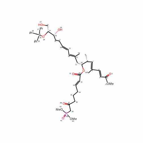 COC(=O)/C=C/C(C)=C/[C@@H](C)[C@@H](C/C(C)=C/C=C/CC[C@@H](O)[C@@H](CO)O[Si](C(C)C)(C(C)C)C(C)C)OC(=O)/C=C/CCCC(=O)CP(=O)(OC)OC